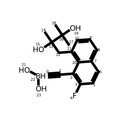 C#Cc1c(F)ccc2cccc(CC(C)(O)C(C)(C)O)c12.OBO